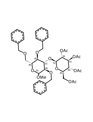 CO[C@H]1O[C@H](COCc2ccccc2)[C@@H](OCc2ccccc2)[C@H](O[C@@H]2O[C@H](COC(C)=O)[C@@H](OC(C)=O)[C@H](OC(C)=O)[C@H]2OC(C)=O)[C@H]1OCc1ccccc1